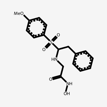 COc1ccc(S(=O)(=O)C(Cc2ccccc2)NCC(=O)NO)cc1